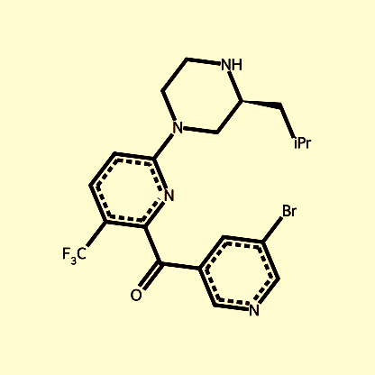 CC(C)C[C@H]1CN(c2ccc(C(F)(F)F)c(C(=O)c3cncc(Br)c3)n2)CCN1